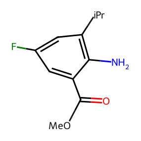 COC(=O)c1cc(F)cc(C(C)C)c1N